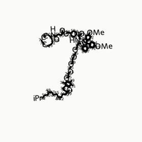 COc1ccc(C(OC[C@H](NC(=O)CCOCCOCCOCCOCCOc2c(C)c(C)c3c(c2C)CC[C@@](C)(CCC[C@H](C)CCC[C@H](C)CCCC(C)C)O3)C(=O)N2CCC(COC(=O)CCC(=O)NC3CCCCCCCCCC3)CC2)(c2ccccc2)c2ccc(OC)cc2)cc1